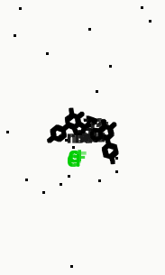 CCCCC1=Cc2c(-c3ccc(C)cc3)cc(C)c(C)c2[CH]1[Zr+2]1([CH]2C(CCCC)=Cc3c(-c4ccc(C)cc4)cc(C)c(C)c32)[CH2][CH2]1.[Cl-].[Cl-]